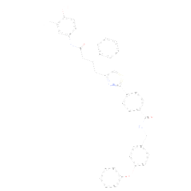 O=C(CC(Cc1csc(-c2ccc(C(=O)NCc3ccc(Oc4ccccc4)cc3)cc2)n1)c1ccccc1)Nc1ccc(O)c(C(=O)O)c1